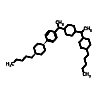 CCCCCC1CCC(C(C)C2CCC(C(C)c3ccc([C@H]4CC[C@H](CCCCC)CC4)cc3)CC2)CC1